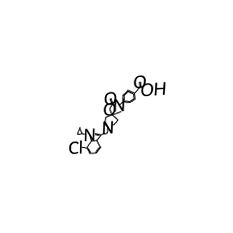 O=C(O)c1ccc(N2CC3(CCN(CC4=CN(C5CC5)C5C(Cl)=CC=CC45)CC3)OC2=O)cc1